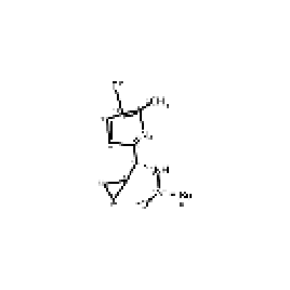 Cc1nc([C@H](N[S@@+]([O-])C(C)(C)C)C2CC2)ccc1F